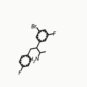 CC(N)C(Cc1ccc(F)cc1)c1cc(F)cc(Br)c1